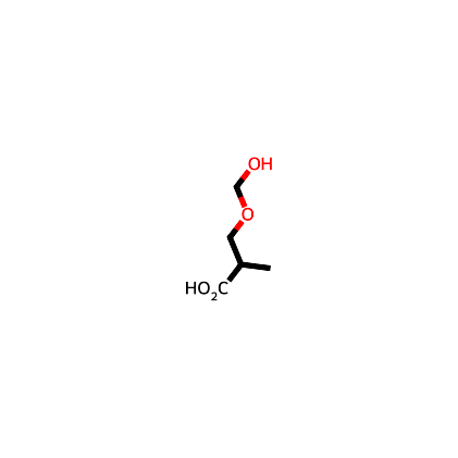 CC(COCO)C(=O)O